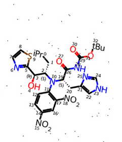 CC(C)C[C@@H]([C@@H](O)c1nccs1)N(c1ccc([N+](=O)[O-])cc1[N+](=O)[O-])[C@@H](Cc1c[nH]cn1)C(=O)NC(=O)OC(C)(C)C